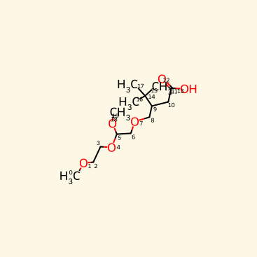 COCCOC(COCC(CC(=O)O)C(C)(C)C)OC